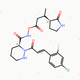 CC(CC(=O)ONC(=O)[C@@H]1CCCNN1C(=O)/C=C/c1ccc(Cl)cc1F)[C@@H]1CCNC1=O